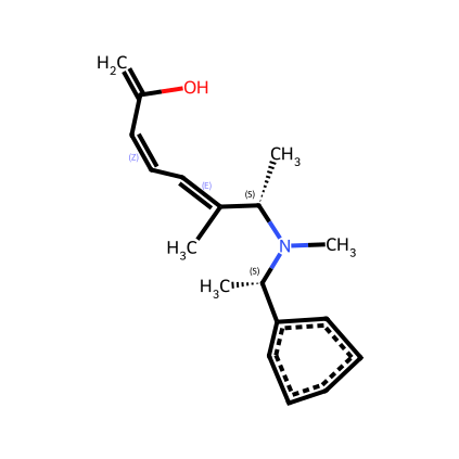 C=C(O)/C=C\C=C(/C)[C@H](C)N(C)[C@@H](C)c1ccccc1